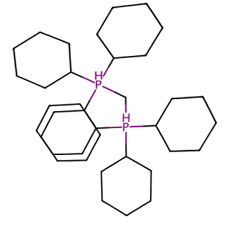 C1CCC([PH](C[PH](C2CCCCC2)(C2CCCCC2)C2CCCCC2)(C2CCCCC2)C2CCCCC2)CC1